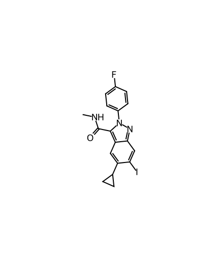 CNC(=O)c1c2cc(C3CC3)c(I)cc2nn1-c1ccc(F)cc1